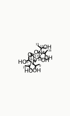 CC(O)[N+]([O][Ti](=[O])[O][N+](C(C)O)(C(C)O)C(C)O)(C(C)O)C(C)O